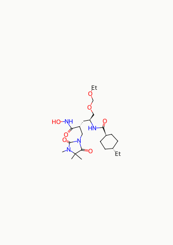 CCOCOC[C@H](C[C@H](CN1C(=O)N(C)C(C)(C)C1=O)C(=O)NO)NC(=O)[C@H]1CC[C@H](CC)CC1